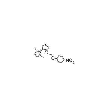 Cc1ccc(C)n1-c1ccnn1CCOc1ccc([N+](=O)[O-])cc1